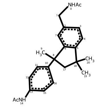 CC(=O)NCc1ccc2c(c1)C(C)(c1ccc(NC(C)=O)cc1)CC2(C)C